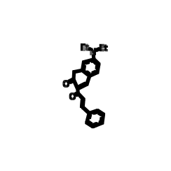 CCN(CC)c1ccc2c(c1)CC(=O)C(C(=O)C=Cc1ccccc1)=C2